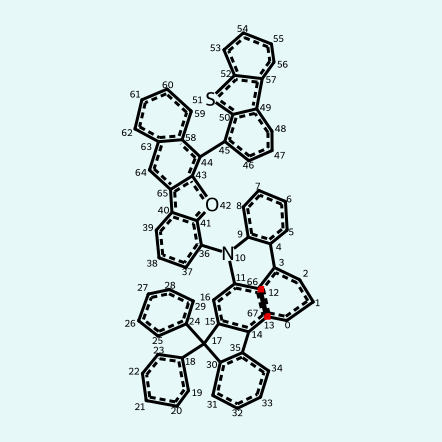 c1ccc(-c2ccccc2N(c2ccc3c(c2)C(c2ccccc2)(c2ccccc2)c2ccccc2-3)c2cccc3c2oc2c(-c4cccc5c4sc4ccccc45)c4ccccc4cc23)cc1